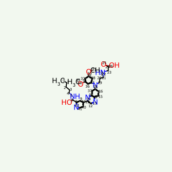 CCCCCNC(O)c1cc(-c2cnc3ccc(N(CCCNCC(=O)O)c4cc(OC)cc(OC)c4)cc3n2)ccn1